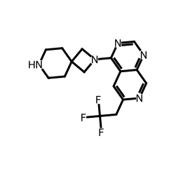 FC(F)(F)Cc1cc2c(N3CC4(CCNCC4)C3)ncnc2cn1